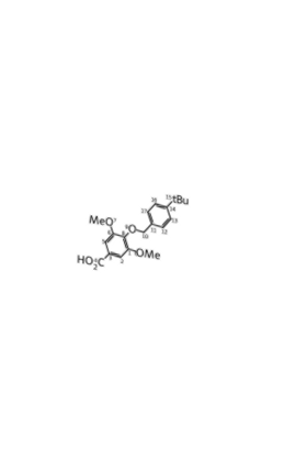 COc1cc(C(=O)O)cc(OC)c1OCc1ccc(C(C)(C)C)cc1